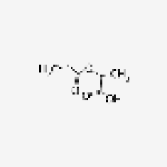 [CH2]CC(=O)OC(C)C(=O)O